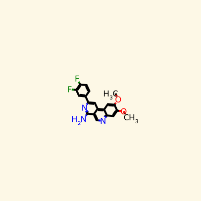 COc1cc2ncc3c(N)nc(-c4ccc(F)c(F)c4)cc3c2cc1OC